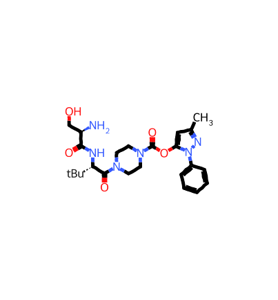 Cc1cc(OC(=O)N2CCN(C(=O)[C@@H](NC(=O)[C@H](N)CO)C(C)(C)C)CC2)n(-c2ccccc2)n1